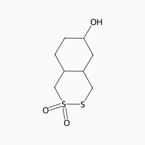 O=S1(=O)CC2CCC(O)CC2CS1